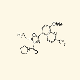 COc1ccc(-c2nc(C(=O)N3CCCC3)c(CN)o2)c2ccc(C(F)(F)F)nc12